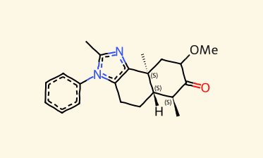 COC1C[C@]2(C)c3nc(C)n(-c4ccccc4)c3CC[C@H]2[C@H](C)C1=O